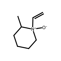 C=C[N+]1([O-])CCCCC1C